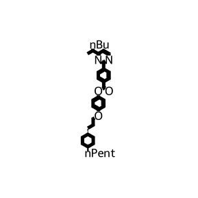 CCCCC[C@H]1CC[C@H](CCCOc2ccc(OC(=O)c3ccc(-c4nccc(C(C)CCCC)n4)cc3)cc2)CC1